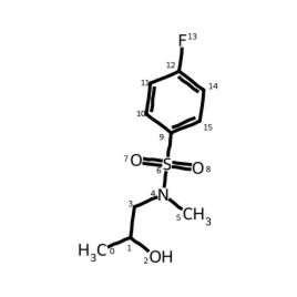 CC(O)CN(C)S(=O)(=O)c1ccc(F)cc1